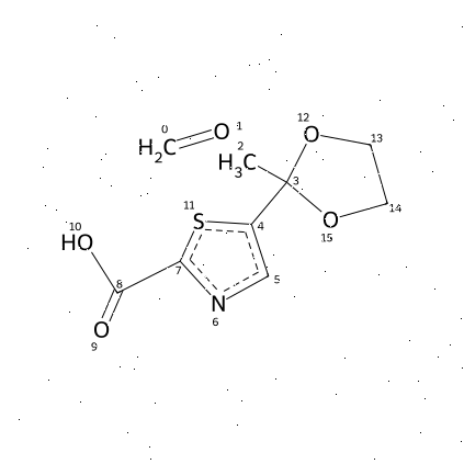 C=O.CC1(c2cnc(C(=O)O)s2)OCCO1